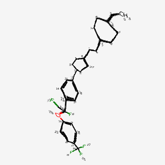 CCC1CCC(CCC2CCC(c3ccc(C(F)(F)Oc4ccc(C(F)(F)F)cc4)cc3)CC2)CC1